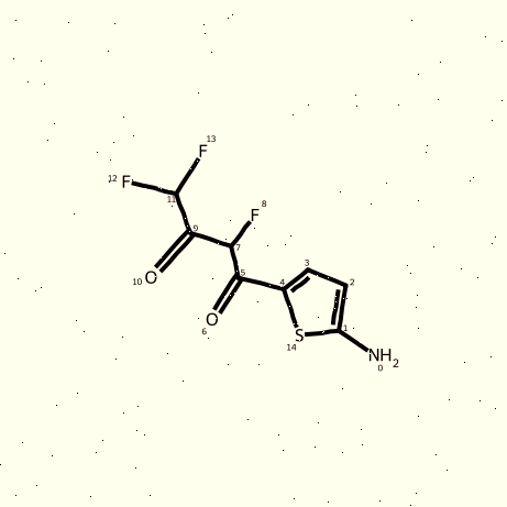 Nc1ccc(C(=O)C(F)C(=O)C(F)F)s1